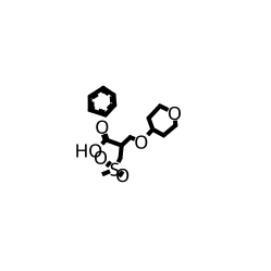 CS(=O)(=O)CC(COC1CCOCC1)C(=O)O.c1ccccc1